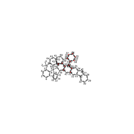 CC1(C)c2ccccc2C2(c3ccccc3-c3cc(N(c4ccc5c(c4)sc4ccccc45)c4ccccc4-c4ccccc4-c4ccccc4-c4ccccc4)ccc32)c2ccccc21